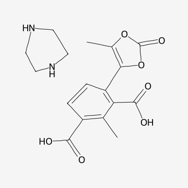 C1CNCCN1.Cc1oc(=O)oc1-c1ccc(C(=O)O)c(C)c1C(=O)O